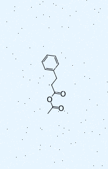 CC(=O)OC(=O)[CH]Cc1ccccc1